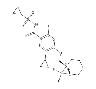 O=C(NS(=O)(=O)C1CC1)c1cc(C2CC2)c(OC[C@@]23CCCC[C@@H]2C3(F)F)cc1F